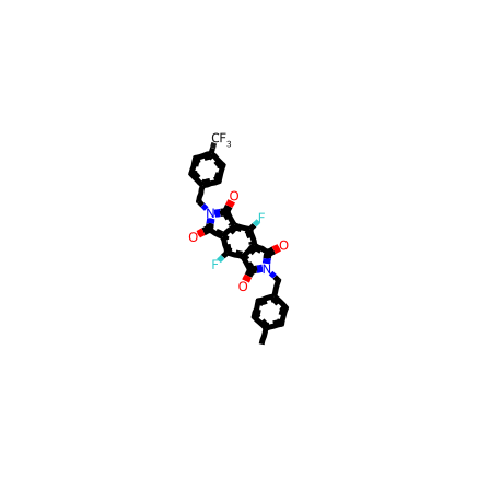 Cc1ccc(Cn2c(=O)c3c(F)c4c(=O)n(Cc5ccc(C(F)(F)F)cc5)c(=O)c4c(F)c3c2=O)cc1